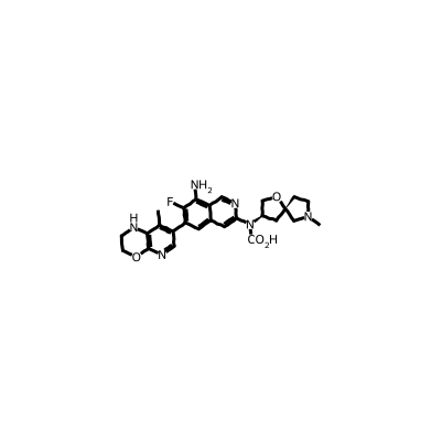 Cc1c(-c2cc3cc(N(C(=O)O)[C@H]4CO[C@@]5(CCN(C)C5)C4)ncc3c(N)c2F)cnc2c1NCCO2